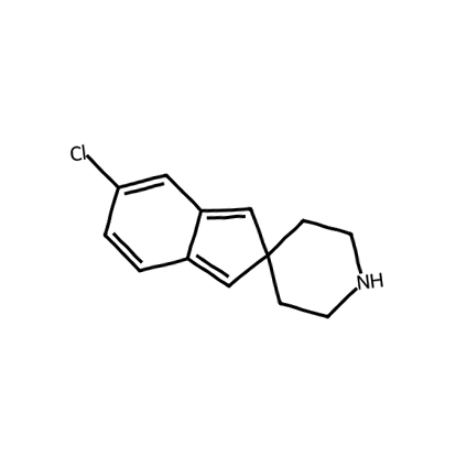 Clc1ccc2c(c1)=CC1(C=2)CCNCC1